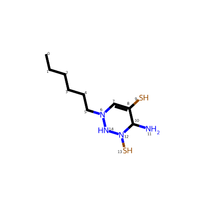 CCCCCCN1C=C(S)C(N)N(S)N1